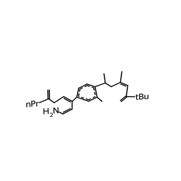 C=C(C/C=C(\C=C/N)c1ccc(C(C)C/C(C)=C\C(=C)C(C)(C)C)c(C)c1)CCC